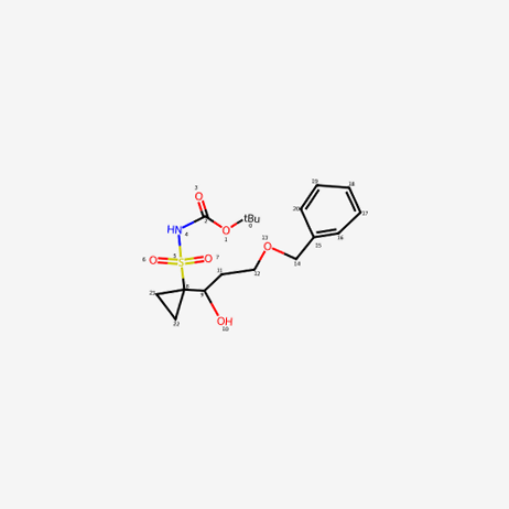 CC(C)(C)OC(=O)NS(=O)(=O)C1(C(O)CCOCc2ccccc2)CC1